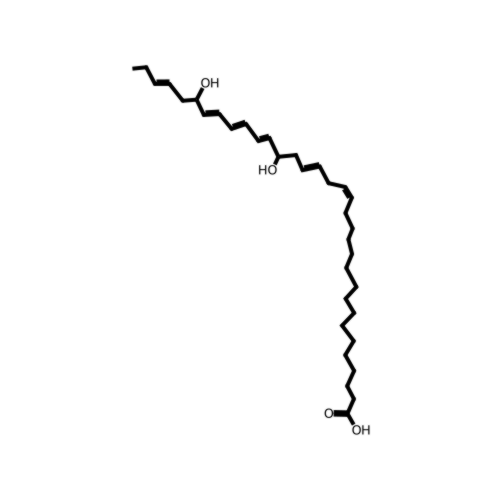 CCC=CCC(O)C=CC=CC=CC(O)CC=CC/C=C\CCCCCCCCCCCCCCC(=O)O